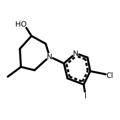 CC1CC(O)CN(c2cc(I)c(Cl)cn2)C1